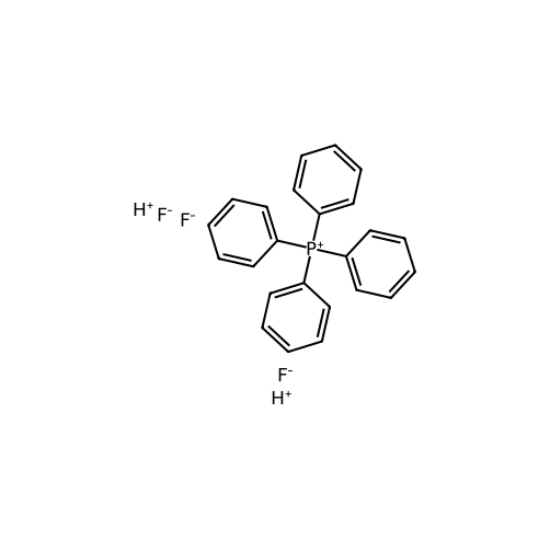 [F-].[F-].[F-].[H+].[H+].c1ccc([P+](c2ccccc2)(c2ccccc2)c2ccccc2)cc1